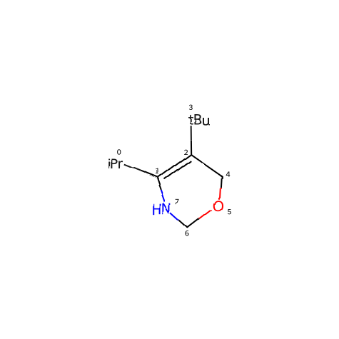 CC(C)C1=C(C(C)(C)C)COCN1